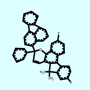 CC1(C)c2cc(F)ccc2-c2c1c1c(c3cc(F)ccc23)OC(c2ccccc2)(c2ccc3c4c(cccc24)-c2ccccc2-3)C=C1